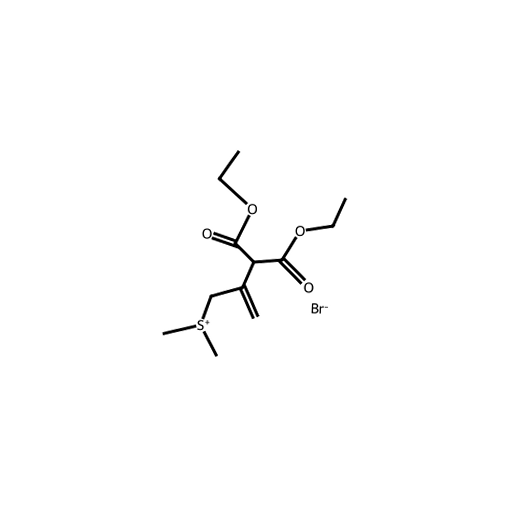 C=C(C[S+](C)C)C(C(=O)OCC)C(=O)OCC.[Br-]